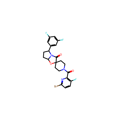 O=C(c1nc(Br)ccc1F)N1CCC2(CC1)OC1CCC(c3cc(F)cc(F)c3)N1C2=O